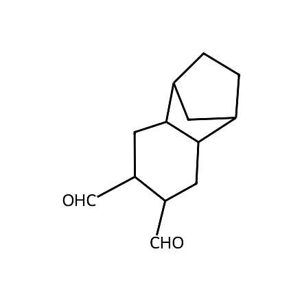 O=CC1CC2C3CCC(C3)C2CC1C=O